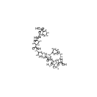 CC(C)CC1C(=O)NC(C(=O)NCc2ccc(CNC(=O)c3ccc(NN=Cc4ccccc4S(=O)(=O)O)nc3)cc2)Cc2ccc(cc2)OCCCC1C(=O)NO